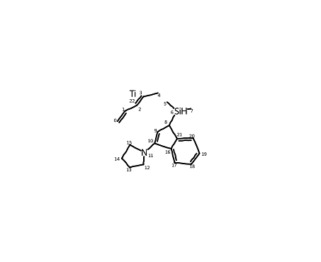 C=CC=CC.C[SiH](C)C1C=C(N2CCCC2)c2ccccc21.[Ti]